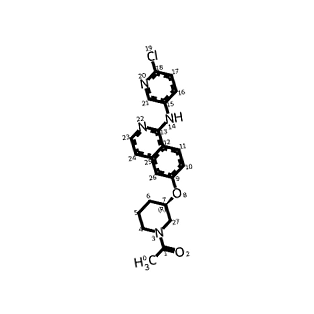 CC(=O)N1CCC[C@@H](Oc2ccc3c(Nc4ccc(Cl)nc4)nccc3c2)C1